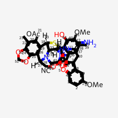 COc1ccc2oc3c(c2c1)C[C@H](CN)N[C@]31CS[C@@H]2c3c(OC(C)=O)c(C)c4c(c3[C@H](COC1=O)N1[C@@H]2[C@@H]2c3c(cc(C)c(OC)c3O)CC([C@@H]1C#N)N2C)OCO4